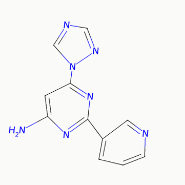 Nc1cc(-n2cncn2)nc(-c2cccnc2)n1